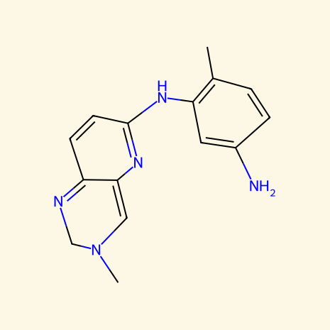 Cc1ccc(N)cc1Nc1ccc2c(n1)=CN(C)CN=2